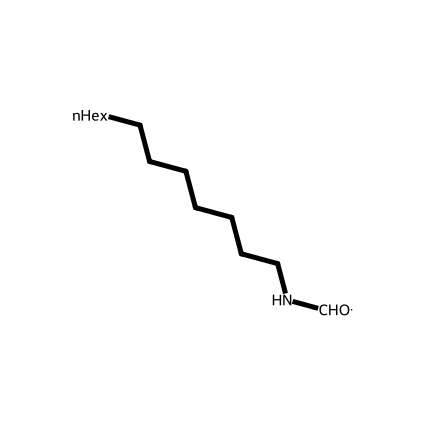 CCCCCCCCCCCCCN[C]=O